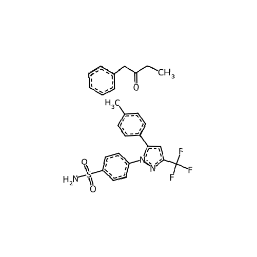 CCC(=O)Cc1ccccc1.Cc1ccc(-c2cc(C(F)(F)F)nn2-c2ccc(S(N)(=O)=O)cc2)cc1